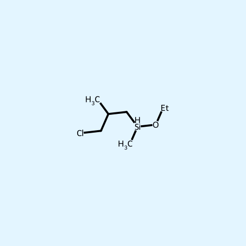 CCO[SiH](C)CC(C)CCl